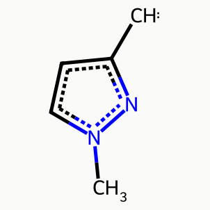 [CH]c1ccn(C)n1